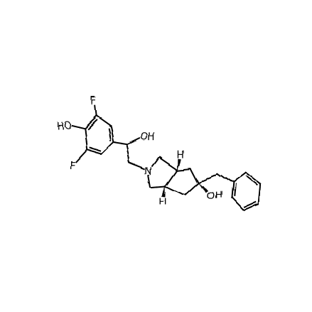 Oc1c(F)cc(C(O)CN2C[C@@H]3C[C@](O)(Cc4ccccc4)C[C@@H]3C2)cc1F